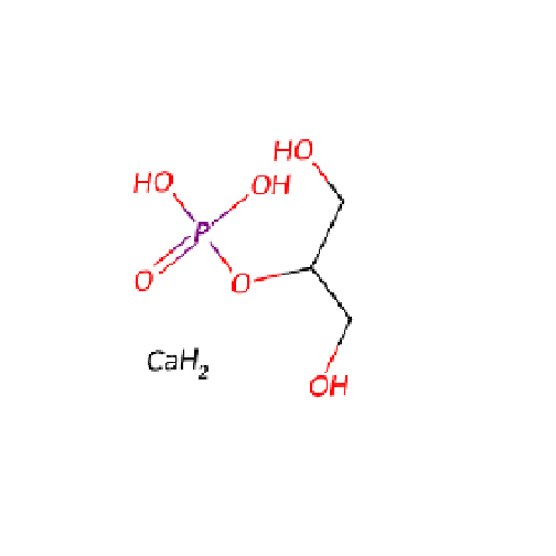 O=P(O)(O)OC(CO)CO.[CaH2]